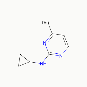 CC(C)(C)c1ccnc(NC2CC2)n1